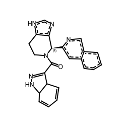 O=C(C1=NNC2C=CC=CC12)N1CCc2[nH]cnc2[C@H]1c1cc2ccccc2cn1